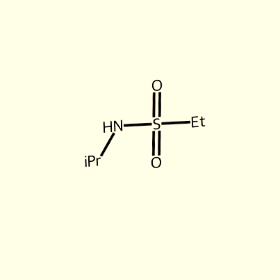 CCS(=O)(=O)NC(C)C